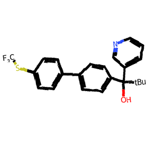 CC(C)(C)C(O)(c1ccc(-c2ccc(SC(F)(F)F)cc2)cc1)c1cccnc1